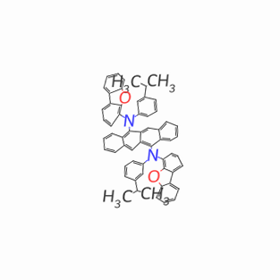 CC(C)c1cccc(N(c2c3ccccc3cc3c(N(c4cccc(C(C)C)c4)c4cccc5c4oc4ccccc45)c4ccccc4cc23)c2cccc3c2oc2ccccc23)c1